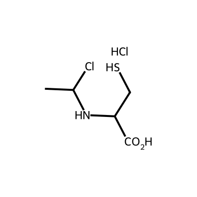 CC(Cl)NC(CS)C(=O)O.Cl